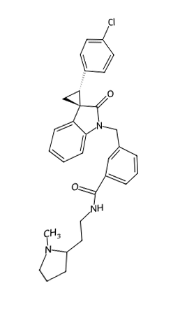 CN1CCCC1CCNC(=O)c1cccc(CN2C(=O)[C@]3(C[C@@H]3c3ccc(Cl)cc3)c3ccccc32)c1